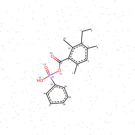 CCc1c(C)cc(C)c(C(=O)OP(=O)(O)c2ccccc2)c1C